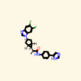 C[C@H](C(=O)Nc1ccc(-c2cnc[nH]2)cc1)[C@H]1[C@@H]2C[C@@H](n3cnc4cc(F)c(F)cc43)C[C@@H]21